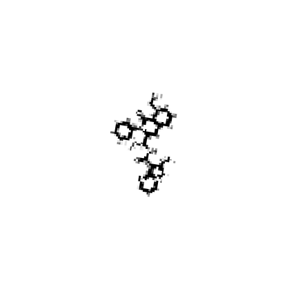 Cc1nn2cccnc2c1C(=O)N[C@@H](C)c1cc2cccc(CO)c2c(=O)n1-c1ccccc1